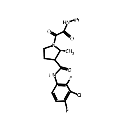 CC(C)NC(=O)C(=O)N1CCC(C(=O)Nc2ccc(F)c(Cl)c2F)[C@@H]1C